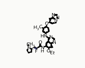 CCOc1cc2ncnc(Nc3ccc(Oc4ccn5ncnc5c4)c(C)c3)c2cc1NC(=O)/C(F)=C/[C@H]1CCCN1C